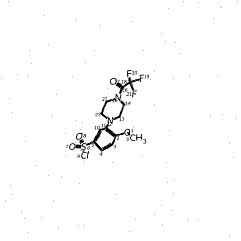 COc1ccc(S(=O)(=O)Cl)cc1N1CCN(C(=O)C(F)(F)F)CC1